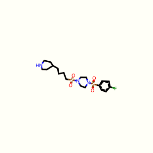 O=S(=O)(CCCCC1CCNCC1)N1CCN(S(=O)(=O)c2ccc(F)cc2)CC1